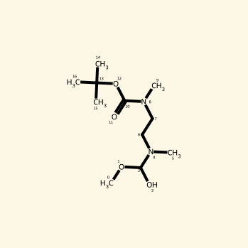 COC(O)N(C)CCN(C)C(=O)OC(C)(C)C